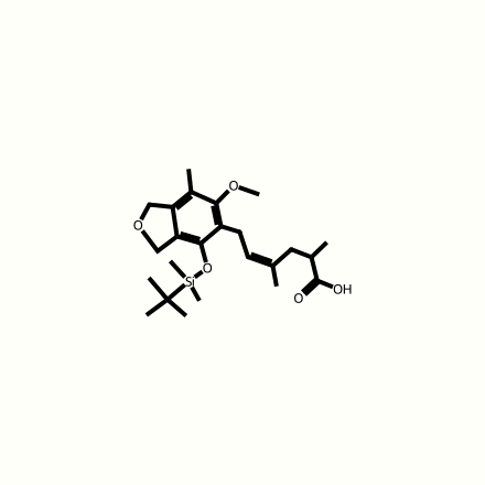 COc1c(C)c2c(c(O[Si](C)(C)C(C)(C)C)c1CC=C(C)CC(C)C(=O)O)COC2